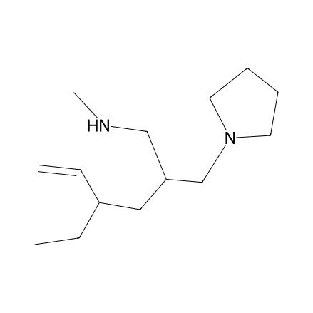 C=CC(CC)CC(CNC)CN1CCCC1